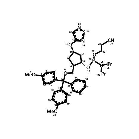 COc1ccc(C(OC[C@H]2C[C@@H](Oc3cnsn3)C[C@@H]2OP(OCCC#N)N(C(C)C)C(C)C)(c2ccccc2)c2ccc(OC)cc2)cc1